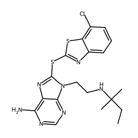 CCC(C)(C)NCCn1c(Sc2nc3cccc(Cl)c3s2)nc2c(N)ncnc21